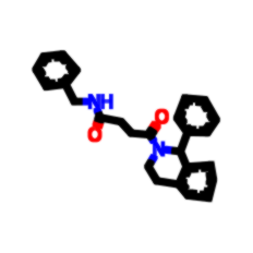 O=C(CCC(=O)N1CCc2ccccc2C1c1ccccc1)NCc1ccccc1